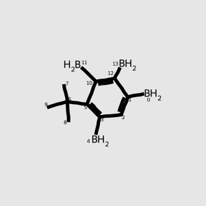 Bc1cc(B)c(C(C)(C)C)c(B)c1B